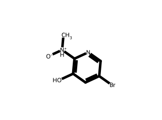 C[NH+]([O-])c1ncc(Br)cc1O